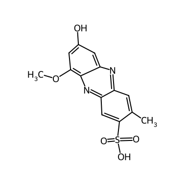 COc1cc(O)cc2nc3cc(C)c(S(=O)(=O)O)cc3nc12